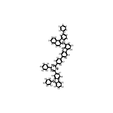 c1ccc(-c2ccc3c(c2)c2c4ccccc4ccc2n3-c2cccc3c2sc2cc(-c4ccc(-c5nc(-c6ccccc6)nc(-c6ccc7c8ccccc8n(-c8ccccc8)c7c6)n5)cc4)ccc23)cc1